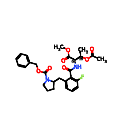 COC(=O)[C@@H](NC(=O)c1c(F)cccc1CC1CCCN1C(=O)OCc1ccccc1)[C@@H](C)OC(C)=O